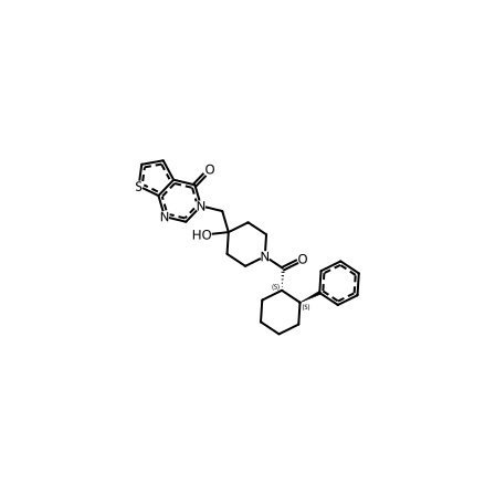 O=C([C@H]1CCCC[C@@H]1c1ccccc1)N1CCC(O)(Cn2cnc3sccc3c2=O)CC1